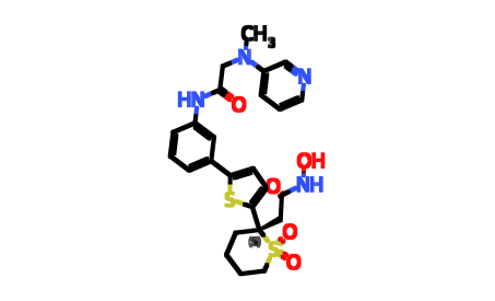 CN(CC(=O)Nc1cccc(-c2ccc([C@@]3(CC(=O)NO)CCCCS3(=O)=O)s2)c1)c1cccnc1